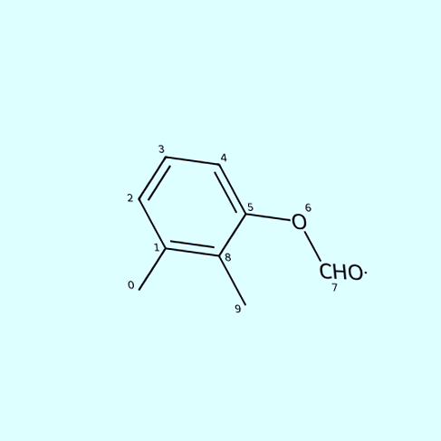 Cc1cccc(O[C]=O)c1C